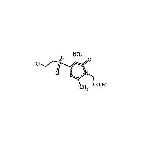 CCOC(=O)Cn1c(C)cc(S(=O)(=O)CCCl)c([N+](=O)[O-])c1=O